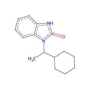 CC(C1CCCCC1)n1c(=O)[nH]c2ccccc21